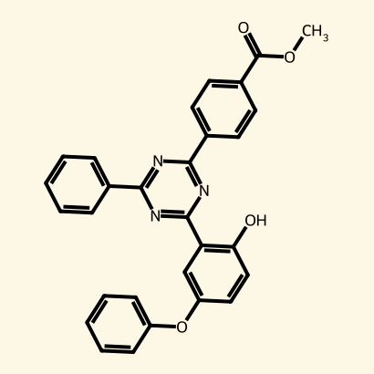 COC(=O)c1ccc(-c2nc(-c3ccccc3)nc(-c3cc(Oc4ccccc4)ccc3O)n2)cc1